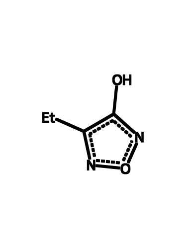 CCc1nonc1O